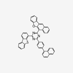 c1ccc2c(-c3ccc(-c4nc(-c5c6ccccc6cc6c5oc5ccccc56)nc(-c5cccc6c5sc5ccccc56)n4)cc3)cccc2c1